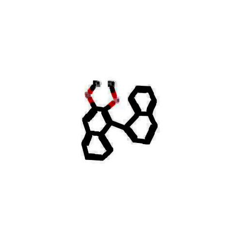 CCOc1cc2ccccc2c(-c2cccc3ccccc23)c1OCC